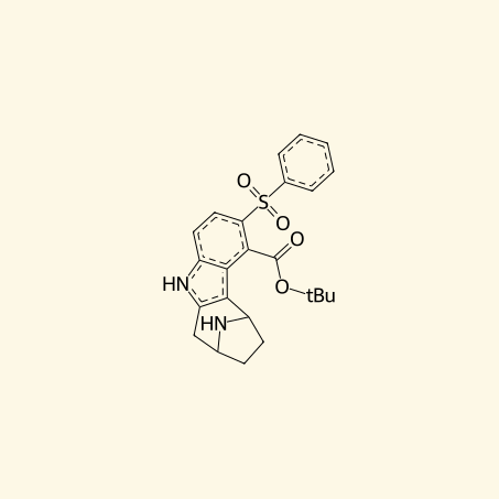 CC(C)(C)OC(=O)c1c(S(=O)(=O)c2ccccc2)ccc2[nH]c3c(c12)C1CCC(C3)N1